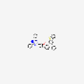 c1ccc(C2=NC(c3ccc4c(c3)oc3cc(-c5ccccc5-c5ccc6sc7ccccc7c6c5)ccc34)=NC(c3ccccc3)N2)cc1